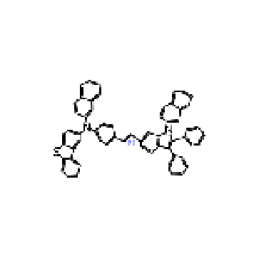 C(=C\c1ccc2c(-c3ccccc3)c(-c3ccccc3)n(-c3ccc4ccccc4c3)c2c1)/c1ccc(N(c2ccc3ccccc3c2)c2ccc3sc4ccccc4c3c2)cc1